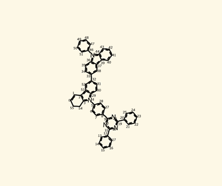 C1=Cc2c(n(-c3ccc(-c4nc(-c5ccccc5)nc(-c5ccccc5)n4)cc3)c3ccc(-c4ccc5c(c4)c4ccccc4n5-c4ccccc4)cc23)CC1